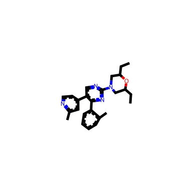 CCC1CN(c2ncc(-c3ccnc(C)c3)c(-c3ccccc3C)n2)CC(CC)O1